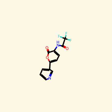 O=C(Nc1ccc(-c2cccnc2)oc1=O)C(F)(F)F